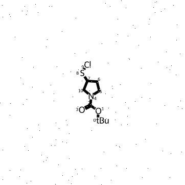 CC(C)(C)OC(=O)N1CCC(SCl)C1